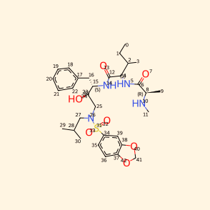 CCC(C)[C@H](NC(=O)[C@@H](C)NC)C(=O)N[C@@H](Cc1ccccc1)[C@H](O)CN(CC(C)C)S(=O)(=O)c1ccc2c(c1)OCO2